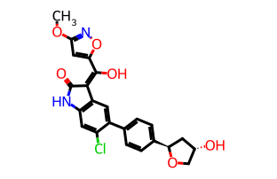 COc1cc(C(O)=C2C(=O)Nc3cc(Cl)c(-c4ccc([C@H]5C[C@H](O)CO5)cc4)cc32)on1